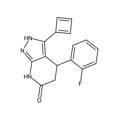 O=C1CC(c2ccccc2F)c2c(n[nH]c2C2=CC=C2)N1